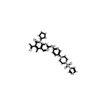 CC(=O)c1c(C)c2cnc(Nc3ccc(N4CCN(S(=O)(=O)n5ccnc5)CC4)cn3)nc2n(C2CCCC2)c1=O